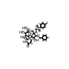 Cc1ccc(S(=O)(=O)OC[C@]2(CO)O[C@@H]([N+]3([C@@H]4O[C@H](CO)[C@@H](O)[C@H]4O)C=CC(=O)NC3=O)[C@H](O)[C@@H]2OCc2ccccc2)cc1